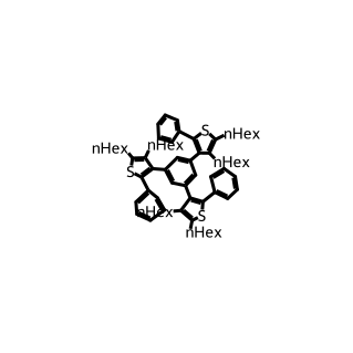 CCCCCCc1sc(-c2ccccc2)c(-c2cc(-c3c(-c4ccccc4)sc(CCCCCC)c3CCCCCC)cc(-c3c(-c4ccccc4)sc(CCCCCC)c3CCCCCC)c2)c1CCCCCC